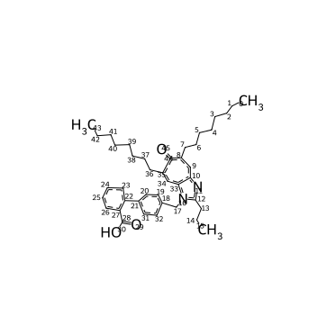 CCCCCCCCc1cc2nc(CCC)n(Cc3ccc(-c4ccccc4C(=O)O)cc3)c2cc(CCCCCCCC)c1=O